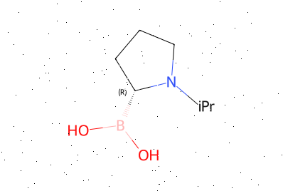 CC(C)N1CCC[C@H]1B(O)O